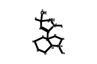 CN1NC(C)(O)C=C1C12CCCCC1N(C)CC2